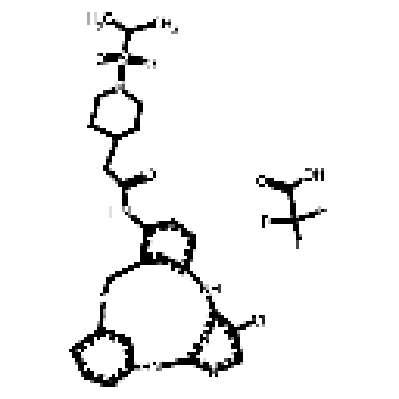 CC(C)S(=O)(=O)N1CCC(CC(=O)Nc2ccc3cc2CCc2cccc(c2)Nc2ncc(Cl)c(n2)N3)CC1.O=C(O)C(F)(F)F